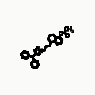 CC(=O)Oc1cccc2c1CCCC2CCCn1cc(C(c2ccccc2)c2ccccc2)cn1